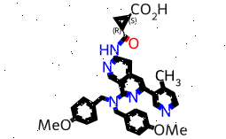 COc1ccc(CN(Cc2ccc(OC)cc2)c2nc(-c3cnccc3C)cc3cc(NC(=O)[C@@H]4C[C@@H]4C(=O)O)ncc23)cc1